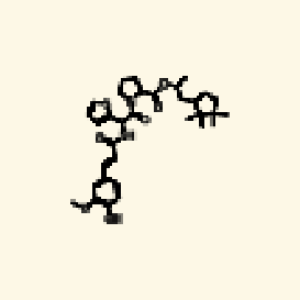 COc1cc(/C=C/C(=O)NC(C(=O)N2CCCC2C(=O)OC(C)CC2CCC(C)(C)C2(C)C)c2cccs2)ccc1O